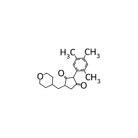 Cc1cc(C)c(C2C(=O)CC(CC3CCOCC3)C2=O)cc1C